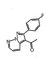 CC(=O)c1c(-c2ccc(F)cc2)nn2ncccc12